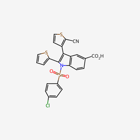 N#Cc1sccc1-c1c(-c2cccs2)n(S(=O)(=O)c2ccc(Cl)cc2)c2ccc(C(=O)O)cc12